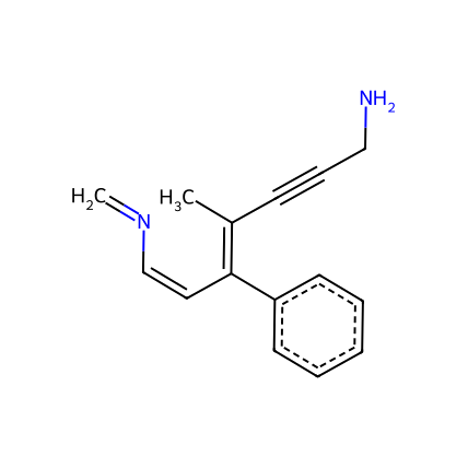 C=N/C=C\C(=C(/C)C#CCN)c1ccccc1